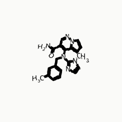 Cc1cccc(CN(c2c(C(N)=O)cnn3cccc23)c2nccn2C)c1